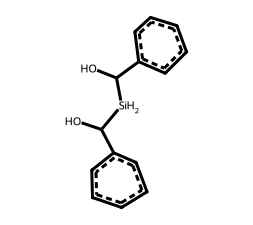 OC([SiH2]C(O)c1ccccc1)c1ccccc1